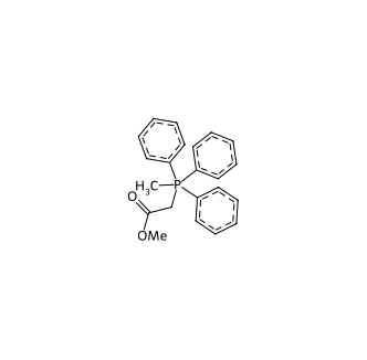 COC(=O)CP(C)(c1ccccc1)(c1ccccc1)c1ccccc1